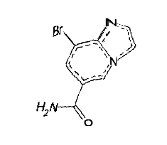 NC(=O)c1cc(Br)c2nccn2c1